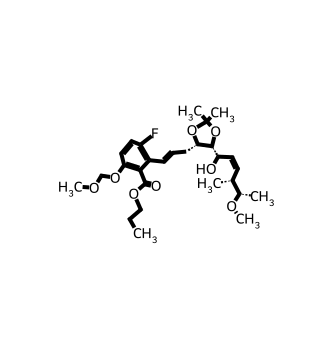 CCCOC(=O)c1c(OCOC)ccc(F)c1/C=C/C[C@@H]1OC(C)(C)O[C@@H]1C(O)/C=C\[C@@H](C)[C@H](C)OC